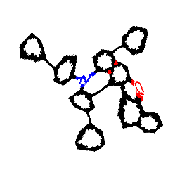 c1ccc(-c2ccc(N(c3ccc(-c4ccccc4)cc3)c3ccc(-c4ccccc4)cc3-c3cccc4oc5c6ccccc6ccc5c34)cc2)cc1